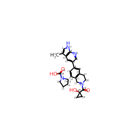 Cc1c[nH]c2ncc(-c3cc4c(c([C@@H]5CCCN5C(=O)O)c3)CN(C(=O)C3(O)CC3)CC4)cc12